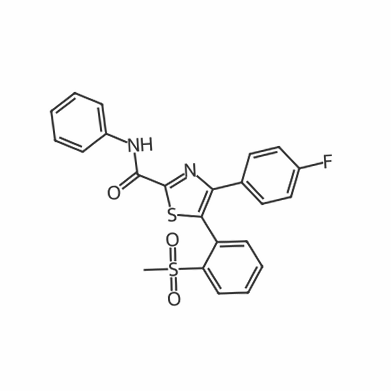 CS(=O)(=O)c1ccccc1-c1sc(C(=O)Nc2ccccc2)nc1-c1ccc(F)cc1